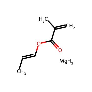 C=C(C)C(=O)OC=CC.[MgH2]